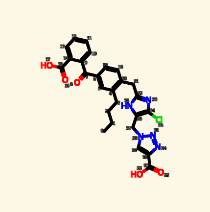 CCCCc1cc(C(=O)c2ccccc2C(=O)O)ccc1Cc1nc(Cl)c(Cn2cc(C(=O)O)nn2)[nH]1